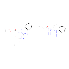 CCOC(=O)NC1=Nc2cc(OCCCC(=O)NC3CCc4ccccc4N3)ccc2CN1CC(=O)OCC(C)C